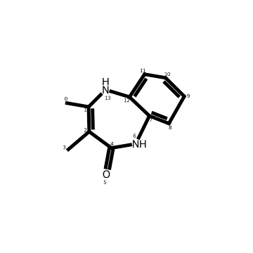 CC1=C(C)C(=O)Nc2ccccc2N1